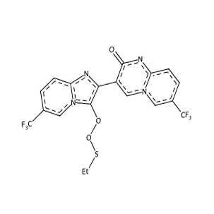 CCSOOc1c(-c2cn3cc(C(F)(F)F)ccc3nc2=O)nc2ccc(C(F)(F)F)cn12